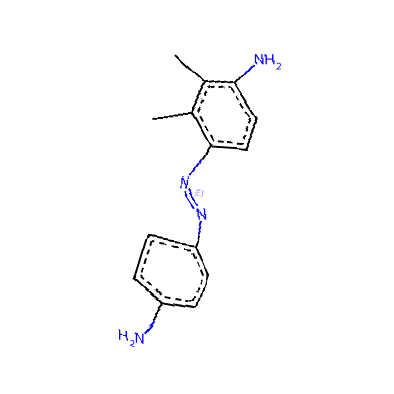 Cc1c(N)ccc(/N=N/c2ccc(N)cc2)c1C